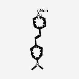 CCCCCCCCC[n+]1ccc(/C=C/c2ccc(N(C)C)cc2)cc1